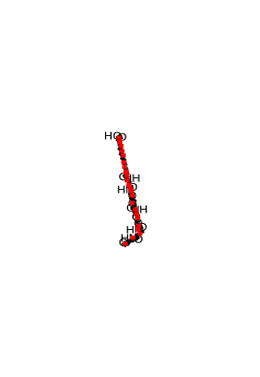 CC(=O)CCCNC(=O)CCC(C)NC(=O)COCCOCCNC(=O)COCCOCCNC(=O)CCCNC(=O)CCCCCCCCCCCCCCCCC(=O)O